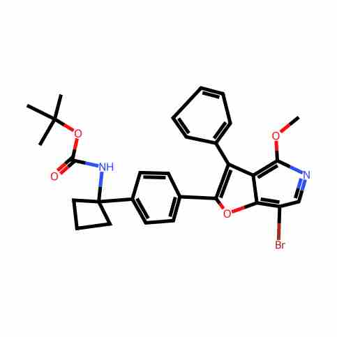 COc1ncc(Br)c2oc(-c3ccc(C4(NC(=O)OC(C)(C)C)CCC4)cc3)c(-c3ccccc3)c12